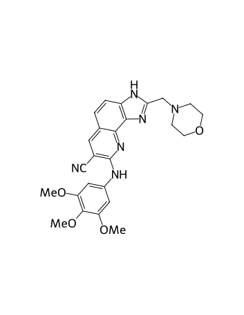 COc1cc(Nc2nc3c(ccc4[nH]c(CN5CCOCC5)nc43)cc2C#N)cc(OC)c1OC